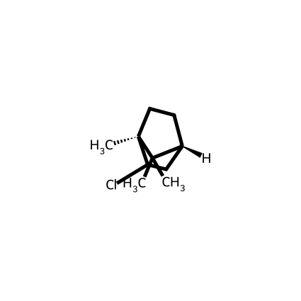 CC1(C)[C@@H]2CC[C@]1(C)C(Cl)C2